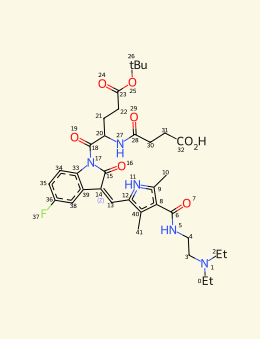 CCN(CC)CCNC(=O)c1c(C)[nH]c(/C=C2\C(=O)N(C(=O)C(CCC(=O)OC(C)(C)C)NC(=O)CCC(=O)O)c3ccc(F)cc32)c1C